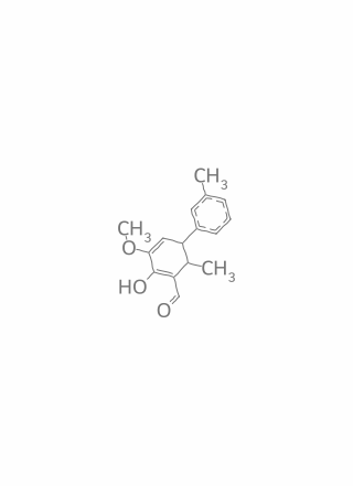 COC1=CC(c2cccc(C)c2)C(C)C(C=O)=C1O